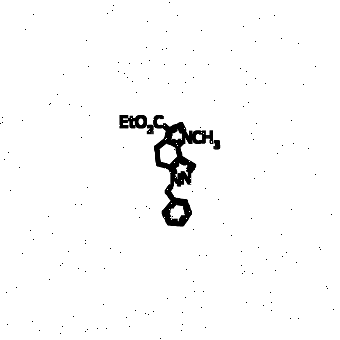 CCOC(=O)c1cn(C)c2c1CCc1c-2cnn1Cc1ccccc1